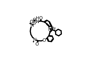 CC(C)n1c2c(C3CCCCC3)c3ccc(cc31)C(=O)NS(=O)(=O)N(C)CCCCN(C)C(=O)COc1ccccc1-2